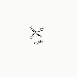 O=S(=O)([O-])[O-].[LiH].[Pb+2]